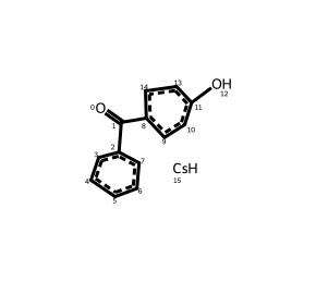 O=C(c1ccccc1)c1ccc(O)cc1.[CsH]